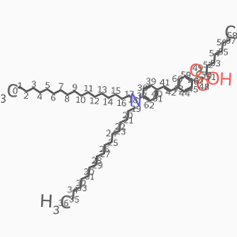 CCCCCCCCCCCCCCCCCCN(CCCCCCCCCCCCCCCCCC)c1ccc(C=Cc2ccc(S(=O)(=O)C(O)CCCCCCC)cc2)cc1